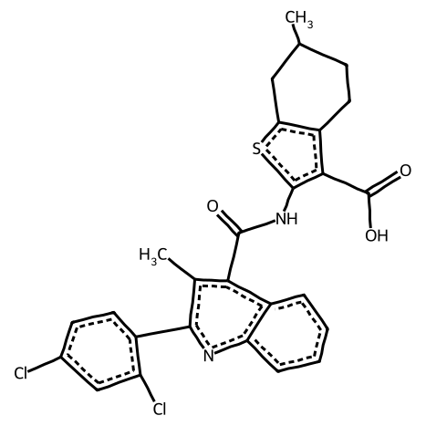 Cc1c(-c2ccc(Cl)cc2Cl)nc2ccccc2c1C(=O)Nc1sc2c(c1C(=O)O)CCC(C)C2